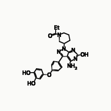 CCC(=O)N1CCCC(n2nc(-c3ccc(Oc4ccc(O)c(O)c4)cc3)c3c(N)nc(O)nc32)C1